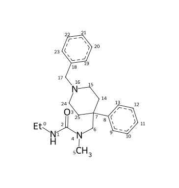 CCNC(=O)N(C)CC1(c2ccccc2)CCN(Cc2ccccc2)CC1